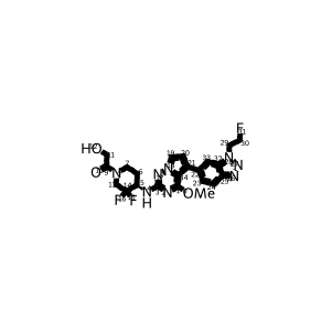 COc1nc(N[C@@H]2CCN(C(=O)CO)CC2(F)F)nn2ccc(-c3ccc4nnn(CCF)c4c3)c12